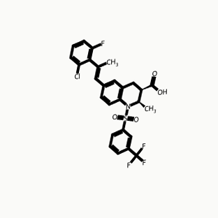 CC(=Cc1ccc2c(c1)C[C@@H](C(=O)O)[C@@H](C)N2S(=O)(=O)c1cccc(C(F)(F)F)c1)c1c(F)cccc1Cl